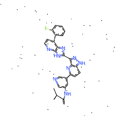 C=C(Nc1cncc(-c2ccc3[nH]nc(-c4nc5c(-c6ccccc6F)ccnc5[nH]4)c3n2)c1)C(C)C